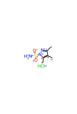 Cc1nn(S(N)(=O)=O)c(C)c1C.Cl